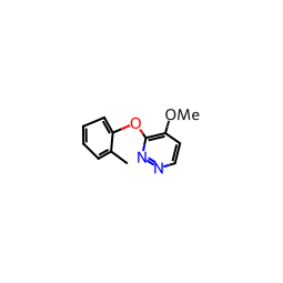 COc1ccnnc1Oc1ccccc1C